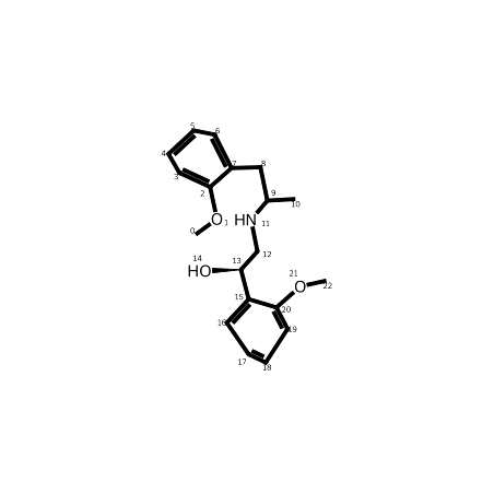 COc1ccccc1CC(C)NC[C@H](O)c1ccccc1OC